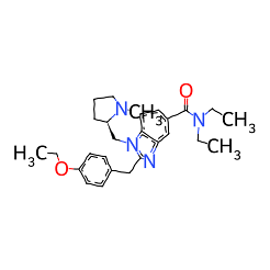 CCOc1ccc(Cc2nc3cc(C(=O)N(CC)CC)ccc3n2C[C@H]2CCCN2C)cc1